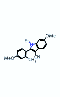 CCn1c(-c2ccc(OC)cc2C)c(C#N)c2ccc(OC)cc21